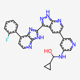 OC(Nc1cncc(-c2cnc3[nH]nc(-c4nc5c(-c6ccccc6F)ccnc5[nH]4)c3c2)c1)C1CC1